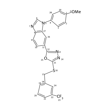 COc1ccc(-n2cnc3ccc(-c4nnc(SCc5cccc(C(F)(F)F)c5)o4)cc32)cc1